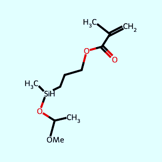 C=C(C)C(=O)OCCC[SiH](C)OC(C)OC